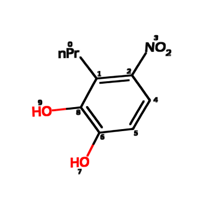 CCCc1c([N+](=O)[O-])ccc(O)c1O